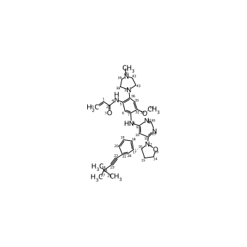 C=CC(=O)Nc1cc(Nc2cc(N3OCC[C@@H]3c3cccc(C#CC(C)(C)C)c3)ncn2)c(OC)cc1N1CCN(C)CC1